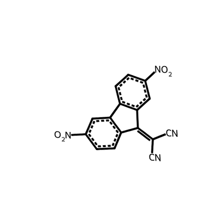 N#CC(C#N)=C1c2cc([N+](=O)[O-])ccc2-c2cc([N+](=O)[O-])ccc21